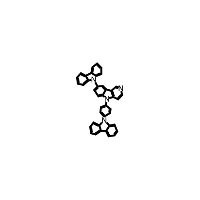 c1ccc2c(c1)c1ccccc1n2-c1ccc(-n2c3ccncc3c3cc(-n4c5ccccc5c5ccccc54)ccc32)cc1